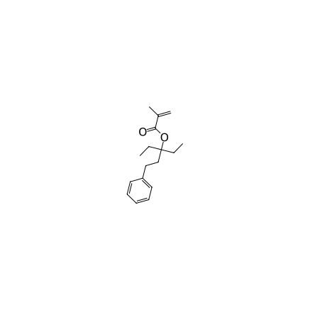 C=C(C)C(=O)OC(CC)(CC)CCc1ccccc1